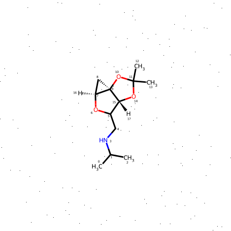 CC(C)NCC1O[C@H]2C[C@@]23OC(C)(C)O[C@H]13